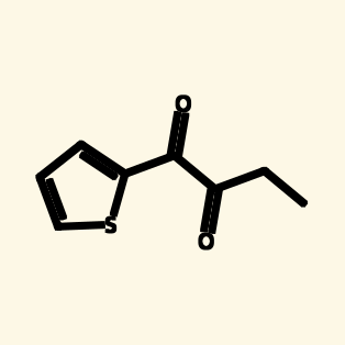 CCC(=O)C(=O)c1cccs1